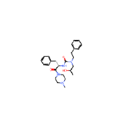 CC(O)CN(CCc1ccccc1)C(=O)N[C@@H](Cc1ccccc1)C(=O)N1CCN(C)CC1